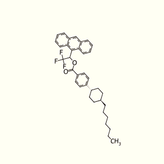 CCCCCCC[C@H]1CC[C@H](c2ccc(C(=O)OC(c3c4ccccc4cc4ccccc34)C(F)(F)F)cc2)CC1